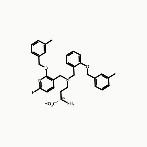 Cc1cccc(COc2ccccc2CN(CC[C@H](N)C(=O)O)Cc2ccc(F)nc2OCc2cccc(C)c2)c1